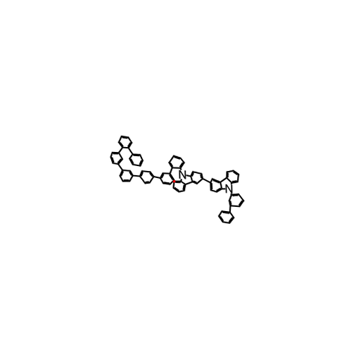 c1ccc(-c2cccc(-n3c4ccccc4c4cc(-c5ccc6c(c5)c5ccccc5n6-c5ccccc5-c5cccc(-c6ccc(-c7cccc(-c8cccc(-c9ccccc9-c9ccccc9)c8)c7)cc6)c5)ccc43)c2)cc1